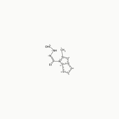 CC/C(=N/NC=O)n1c(C)cc2ccsc21